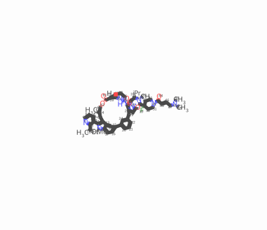 CCn1c(-c2cccnc2[C@H](C)OC)c2c3cc(ccc31)-c1cccc(c1)CC1(CC=[N+]1C(=O)C(C(C)C)N(C)C(=O)C1(F)CCN(C(=O)/C=C/CN(C)C)CC1)C(=O)N1CCC[C@@H](C(=O)OCC(C)(C)C2)C(C)N1